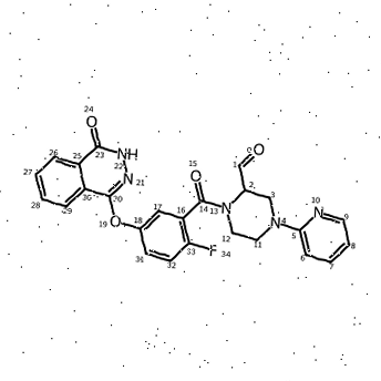 O=CC1CN(c2ccccn2)CCN1C(=O)c1cc(Oc2n[nH]c(=O)c3ccccc23)ccc1F